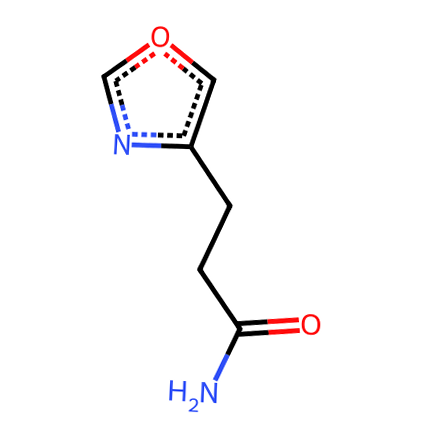 NC(=O)CCc1cocn1